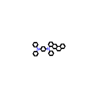 c1ccc(N(c2ccccc2)c2ccc(N(c3ccccc3)c3cccc4cc5c(ccc6ccccc65)cc34)cc2)cc1